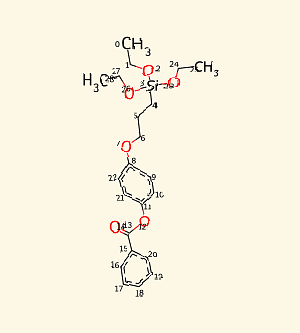 CCO[Si](CCCOc1ccc(OC(=O)c2ccccc2)cc1)(OCC)OCC